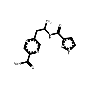 CNC(=O)c1cnc(CC(C)NC(=O)c2cc[nH]n2)cn1